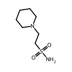 NS(=O)(=O)CCN1CCCCC1